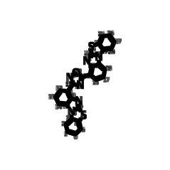 c1ccc2c(c1)sc1nc3c(-c4noc(-c5cccc6c5nc5sc7ccccc7n56)n4)cccc3n12